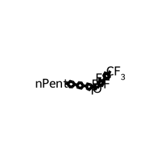 CCCCCC1CCC(C2CCC(C3CCC(C(F)(F)Oc4cc(F)c(-c5ccc(C(F)(F)F)cc5)c(F)c4)CC3)CC2)CC1